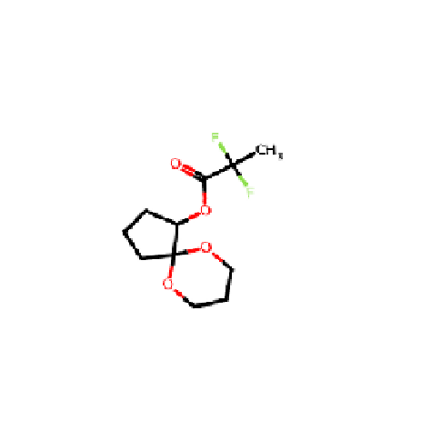 CC(F)(F)C(=O)OC1CCCC12OCCCO2